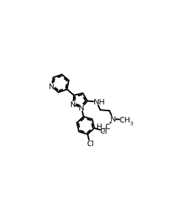 CN(C)CCNc1cc(-c2cccnc2)nn1-c1ccc(Cl)c(Cl)c1